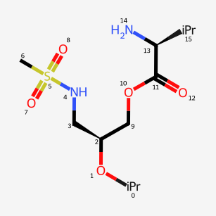 CC(C)O[C@@H](CNS(C)(=O)=O)COC(=O)[C@@H](N)C(C)C